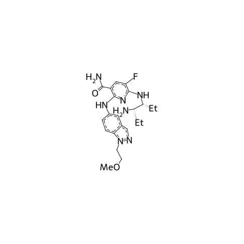 CC[C@H](N)[C@@H](CC)Nc1nc(Nc2ccc3c(cnn3CCOC)c2)c(C(N)=O)cc1F